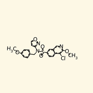 COc1ccc(CN(c2ccon2)S(=O)(=O)c2ccc3c(Cl)c(OC)ncc3c2)cc1